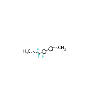 CCCCC(F)=C(F)c1ccc(-c2ccc(CCC)cc2)cc1F